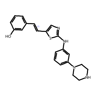 Oc1cccc(/C=C/c2cnc(Nc3cccc(N4CCNCC4)c3)s2)c1